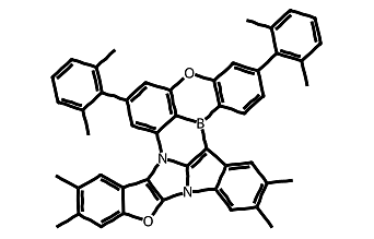 Cc1cc2oc3c(c2cc1C)n1c2c(c4cc(C)c(C)cc4n32)B2c3ccc(-c4c(C)cccc4C)cc3Oc3cc(-c4c(C)cccc4C)cc-1c32